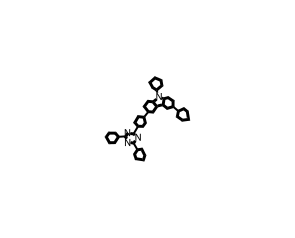 c1ccc(-c2ccc3c(c2)c2cc(-c4ccc(-c5nc(-c6ccccc6)nc(-c6ccccc6)n5)cc4)ccc2n3-c2ccccc2)cc1